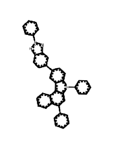 c1ccc(-c2cc3c(c4ccccc24)c2cc(-c4ccc5nn(-c6ccccc6)nc5c4)ccc2n3-c2ccccc2)cc1